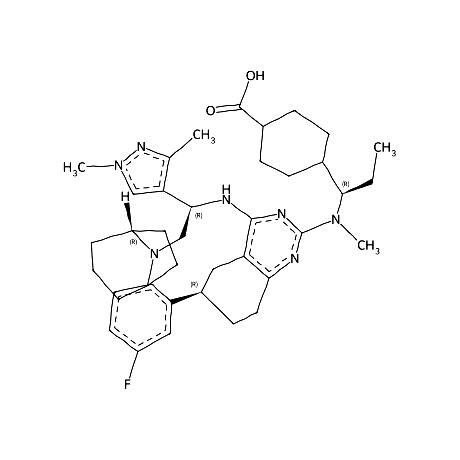 CC[C@H](C1CCC(C(=O)O)CC1)N(C)c1nc2c(c(N[C@@H](CN3C4CCC[C@@H]3CC4)c3cn(C)nc3C)n1)C[C@H](c1cccc(F)c1)CC2